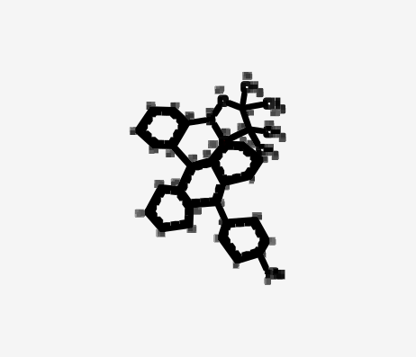 CC(C)(C)c1ccc(-c2c3ccccc3c(-c3ccccc3B3OC(C)(C)C(C)(C)O3)c3ccccc23)cc1